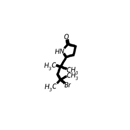 CC(C)(Br)CC(C)(C)C1CCC(=O)N1